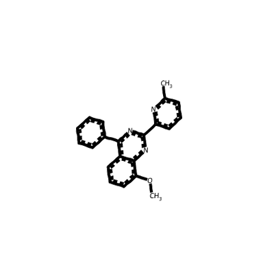 COc1cccc2c(-c3ccccc3)nc(-c3cccc(C)n3)nc12